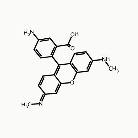 CN=c1ccc2c(-c3ccc(N)cc3C(=O)O)c3ccc(NC)cc3oc-2c1